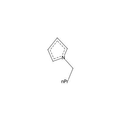 CCCCn1cccc1